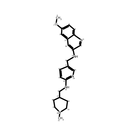 COc1ccc2ncc(NCc3ccc(NCC4CCN(C)CC4)nc3)cc2c1